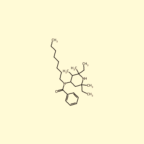 CCCCCCCCN(C(=O)c1ccccc1)C1CC(C)(CC)NC(C)(CC)C1C